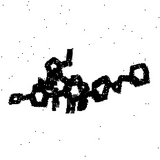 CCC1CCC(CC)N1C(=O)C(NS(=O)(=O)c1ccc(OCC2CCCCC2)cc1)C(F)(F)c1ccc(Cl)cc1